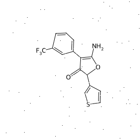 NC1=C(c2cccc(C(F)(F)F)c2)C(=O)C(c2ccsc2)O1